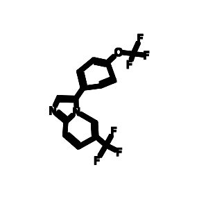 FC(F)(F)Oc1ccc(-c2cnc3ccc(C(F)(F)F)cn23)cc1